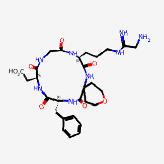 N=C(CN)NCCC[C@@H]1NC(=O)CNC(=O)[C@H](CC(=O)O)NC(=O)[C@@H](Cc2ccccc2)NC(=O)C2(CCOCC2)NC1=O